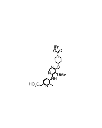 COc1c(Nc2ccc(CC(=O)O)nc2C)ncnc1OC1CCN(C(=O)OC(C)C)CC1